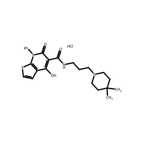 CC(C)n1c(=O)c(C(=O)NCCCN2CCC(C)(C)CC2)c(O)c2ccsc21.Cl